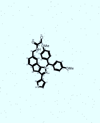 COc1ccc(C(c2ccc(OC)cc2)n2nc(-c3ccsc3)c3c2-c2cc(CNC(=O)CCl)ccc2C3)cc1